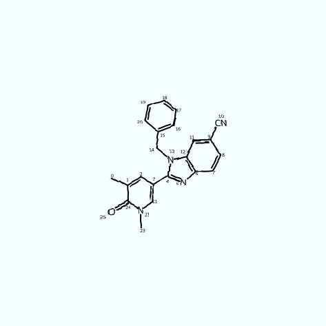 Cc1cc(-c2nc3ccc(C#N)cc3n2Cc2ccccc2)cn(C)c1=O